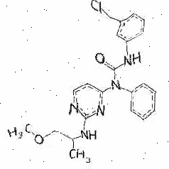 COCC(C)Nc1nccc(N(C(=O)Nc2cccc(Cl)c2)c2ccccc2)n1